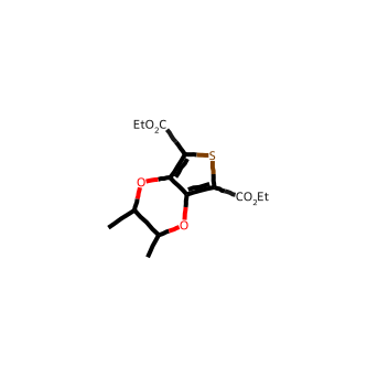 CCOC(=O)c1sc(C(=O)OCC)c2c1OC(C)C(C)O2